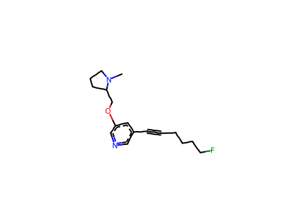 CN1CCCC1COc1cncc(C#CCCCCF)c1